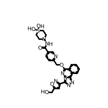 O=C(NN1CCS(O)(O)CC1)c1ccc(COc2nn3c(-c4cc(CO)on4)nnc3c3ccccc23)nc1